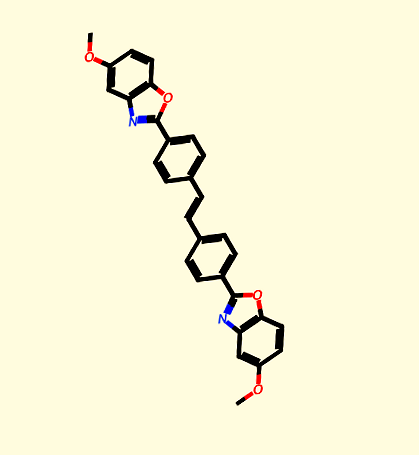 COc1ccc2oc(-c3ccc(C=Cc4ccc(-c5nc6cc(OC)ccc6o5)cc4)cc3)nc2c1